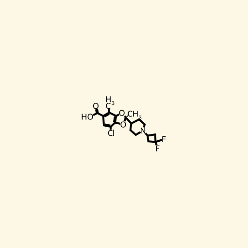 Cc1c(C(=O)O)cc(Cl)c2c1O[C@@](C)(C1CCN(C3CC(F)(F)C3)CC1)O2